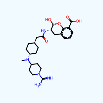 CN(C1CCN(C(=N)N)CC1)[C@H]1CC[C@H](CC(=O)N[C@H]2Cc3cccc(C(=O)O)c3OB2O)CC1